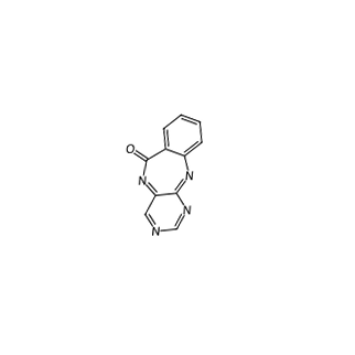 O=c1nc2cncnc2nc2ccccc12